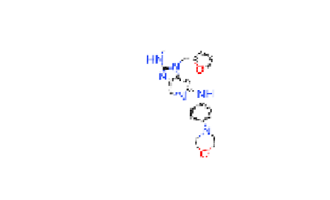 CNc1nc2cnc(Nc3ccc(N4CCOCC4)cc3)cc2n1Cc1ccco1